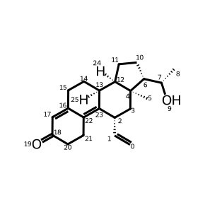 C=C[C@H]1C[C@]2(C)[C@@H]([C@H](C)O)CC[C@@H]2[C@@H]2CCC3=CC(=O)CCC3=C21